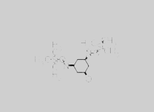 C[Si](C)(C)O/N=C1\CC(=O)C/C(=N/O[Si](C)(C)C)C1